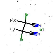 CC(Br)(C#N)C(C)(Br)C#N.Cl